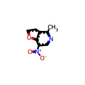 Cc1ncc([N+](=O)[O-])c2occc12